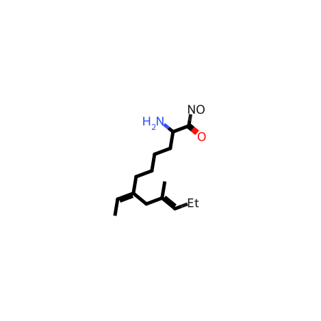 C/C=C(/CCCCC(N)C(=O)N=O)C/C(C)=C/CC